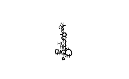 Cc1ncoc1COc1ccc2c(c1C)CCN(C[C@@H](O)CNC(=O)C1CC(N3CCCCC3)NC(NC3CCC3)C13CCCCCCCCC3)C2